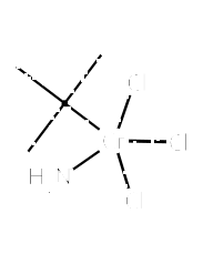 C[C](C)(C)[Cr]([NH2])([Cl])([Cl])[Cl]